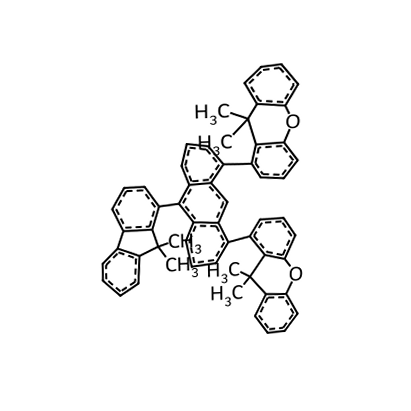 CC1(C)c2ccccc2Oc2cccc(-c3cccc4c(-c5cccc6c5C(C)(C)c5ccccc5-6)c5cccc(-c6cccc7c6C(C)(C)c6ccccc6O7)c5cc34)c21